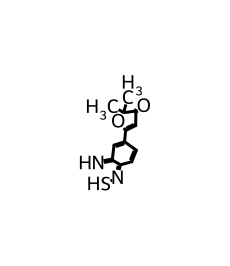 CC1(C)OC(C2=CC(=N)/C(=N\S)C=C2)=CC1=O